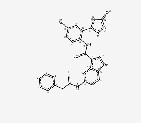 O=C(Cc1ccccc1)Nc1ccc2onc(C(=O)Nc3ccc(Br)cc3-c3noc(=O)[nH]3)c2c1